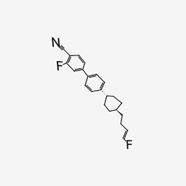 N#Cc1ccc(-c2ccc([C@H]3CC[C@H](CCC=CF)CC3)cc2)cc1F